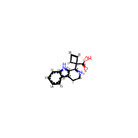 O=C(O)C1(C2=NCCc3c2[nH]c2ccccc32)CCC1